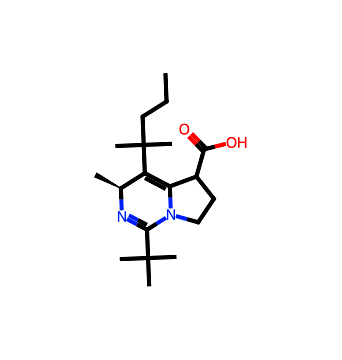 CCCC(C)(C)C1=C2C(C(=O)O)CCN2C(C(C)(C)C)=N[C@H]1C